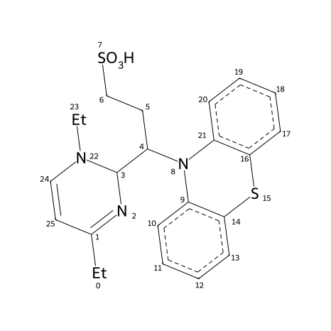 CCC1=NC(C(CCS(=O)(=O)O)N2c3ccccc3Sc3ccccc32)N(CC)C=C1